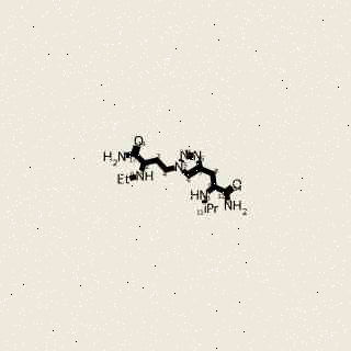 CCNC(CCn1cc(CC(NC(C)C)C(N)=O)nn1)C(N)=O